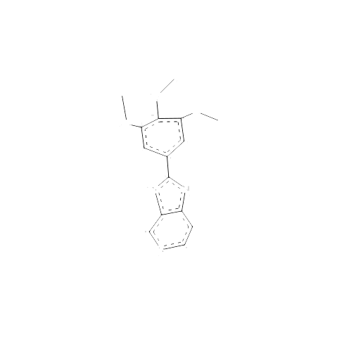 COc1cc(-c2nc3cnccc3[nH]2)cc(OC)c1OC